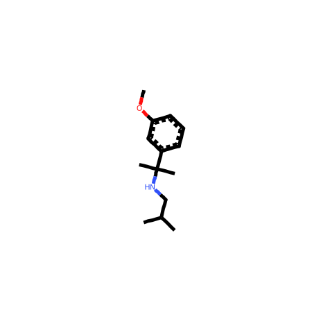 COc1cccc(C(C)(C)NCC(C)C)c1